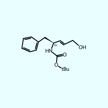 CC(C)(C)OC(=O)N[C@H](C=CCO)Cc1ccccc1